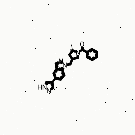 C[C@H]1CC(Cn2ncc3cc(-c4cn[nH]c4)ccc32)CN1C(=O)c1ccccc1